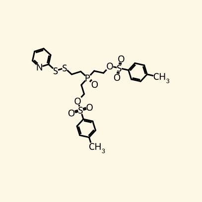 Cc1ccc(S(=O)(=O)OCCP(=O)(CCOS(=O)(=O)c2ccc(C)cc2)CCSSc2ccccn2)cc1